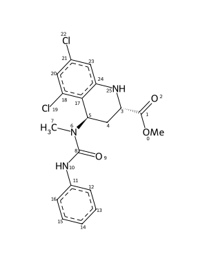 COC(=O)[C@@H]1C[C@@H](N(C)C(=O)Nc2ccccc2)c2c(Cl)cc(Cl)cc2N1